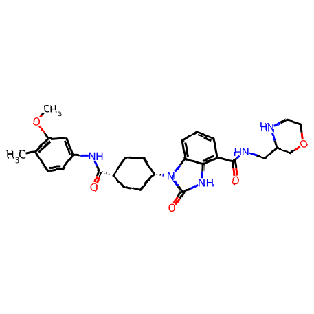 COc1cc(NC(=O)[C@H]2CC[C@@H](n3c(=O)[nH]c4c(C(=O)NCC5COCCN5)cccc43)CC2)ccc1C